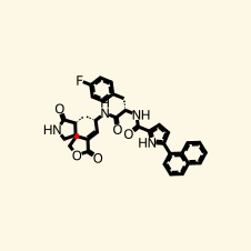 O=C1OCC/C1=C\[C@H](C[C@@H]1CCNC1=O)NC(=O)[C@H](Cc1ccc(F)cc1)NC(=O)c1ccc(-c2cccc3ccccc23)[nH]1